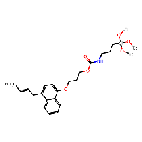 CCO[Si](CCCNC(=O)OCCCOc1ccc(CC=CC(=O)O)c2ccccc12)(OCC)OCC